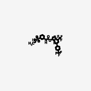 CCNS(=O)(=O)c1cccc(NC(=O)Oc2cnn3c(C(F)(F)F)cc(-c4ccc(C(F)(F)F)cc4)nc23)c1